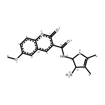 COc1ccc2oc(=O)c(C(=O)NC3SC(C)=C(C)C3N)cc2c1